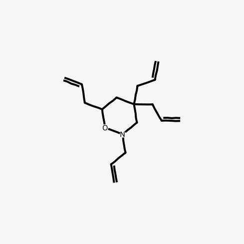 C=CCC1CC(CC=C)(CC=C)CN(CC=C)O1